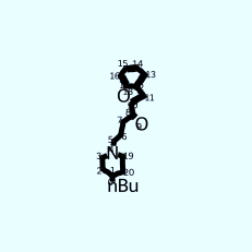 CCCCC1CCN(CCCC(=O)c2cc3ccccc3o2)CC1